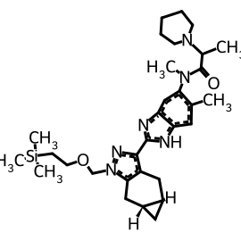 Cc1cc2[nH]c(-c3nn(COCC[Si](C)(C)C)c4c3C[C@@H]3C[C@@H]3C4)nc2cc1N(C)C(=O)C(C)N1CCCCC1